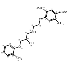 COc1cc(SC)c(C)cc1OCCNCC(O)COc1ccccc1C